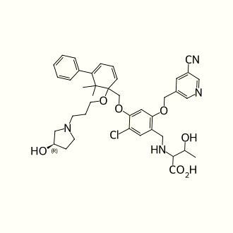 CC(O)C(NCc1cc(Cl)c(OCC2(OCCCN3CC[C@@H](O)C3)C=CC=C(c3ccccc3)C2(C)C)cc1OCc1cncc(C#N)c1)C(=O)O